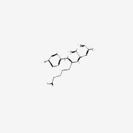 CC(C)COC(=O)CCCCc1cc2cc(Br)cnc2nc1-c1ccc(F)cc1